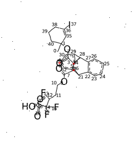 CC1(OC(=O)C2C(C(=O)OCCC(F)C(F)(F)S(=O)(=O)O)C3c4ccccc4C24c2cccc3c24)C=C(I)CCC1